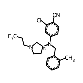 Cc1ccccc1CN(c1ccc(C#N)c(Cl)c1)[C@H]1CCN(CCC(F)(F)F)C1